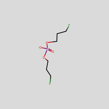 [O]P(=O)(OCCCF)OCCCF